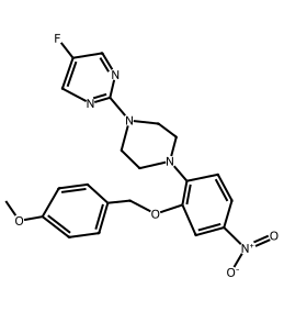 COc1ccc(COc2cc([N+](=O)[O-])ccc2N2CCN(c3ncc(F)cn3)CC2)cc1